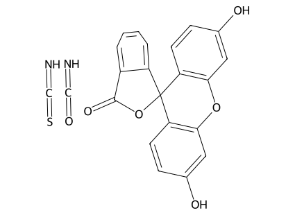 N=C=O.N=C=S.O=C1OC2(c3ccc(O)cc3Oc3cc(O)ccc32)c2ccccc21